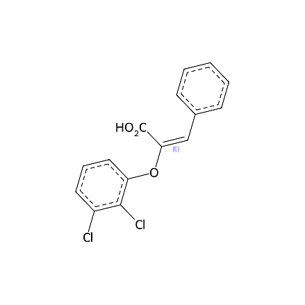 O=C(O)/C(=C\c1ccccc1)Oc1cccc(Cl)c1Cl